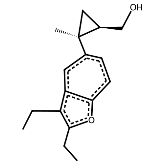 CCc1oc2ccc([C@@]3(C)C[C@H]3CO)cc2c1CC